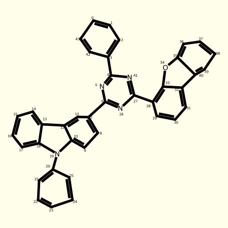 c1ccc(-c2nc(-c3ccc4c(c3)c3ccccc3n4-c3ccccc3)nc(-c3cccc4c3oc3ccccc34)n2)cc1